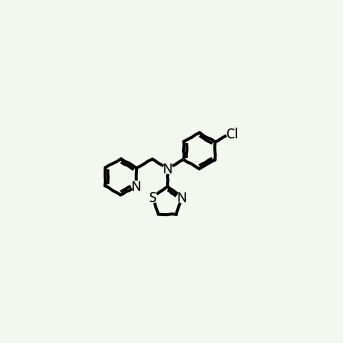 Clc1ccc(N(Cc2ccccn2)C2=NCCS2)cc1